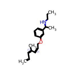 C=C/C=C(C)\C=C/COc1cccc(C(C)NCCC)c1